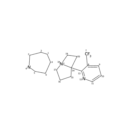 C1CCC[N]CC1.FC(F)(F)c1cccnc1C12CCC[N+]1CC2